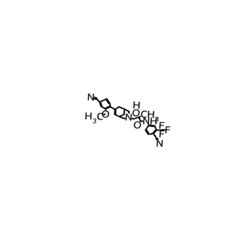 COc1cc(C#N)ccc1C1=CC2CC(C1)CN(CC(C)(O)C(=O)Nc1ccc(C#N)c(C(F)(F)F)c1)C2